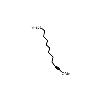 CCCCCCCCCCCCCCCC#COC